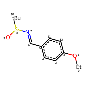 CCOc1ccc(C=N[S+]([O-])C(C)(C)C)cc1